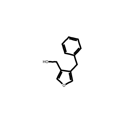 OCc1cocc1Cc1ccccc1